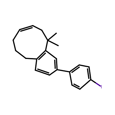 CC1(C)C/C=C\CCCc2ccc(-c3ccc(I)cc3)cc21